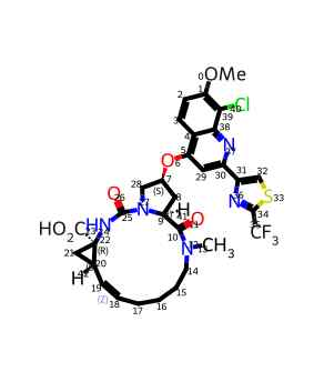 COc1ccc2c(O[C@H]3C[C@H]4C(=O)N(C)CCCC/C=C\[C@@H]5C[C@@]5(C(=O)O)NC(=O)N4C3)cc(-c3csc(C(F)(F)F)n3)nc2c1Cl